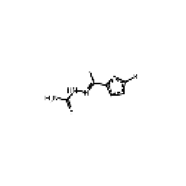 CC(=NNC(N)=S)c1ccc(Br)s1